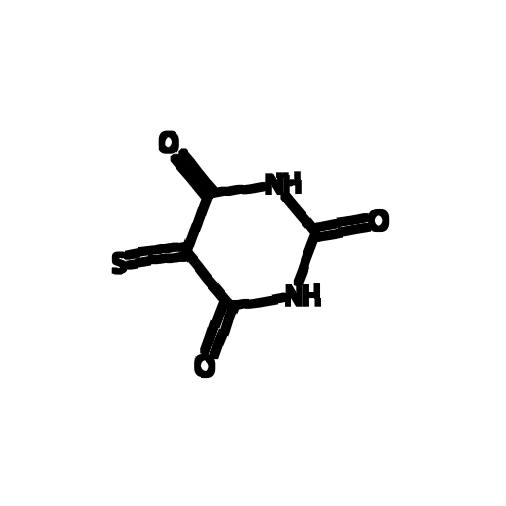 O=C1NC(=O)C(=S)C(=O)N1